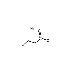 CCC[13C](=O)[O-].[Na+]